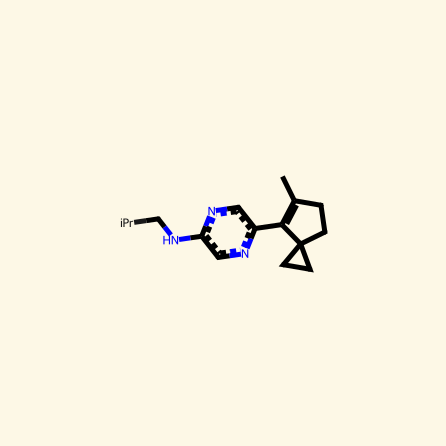 CC1=C(c2cnc(NCC(C)C)cn2)C2(CC1)CC2